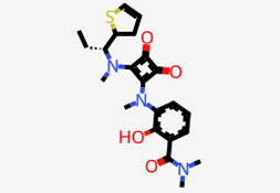 CC[C@H](C1CC=CS1)N(C)c1c(N(C)c2cccc(C(=O)N(C)C)c2O)c(=O)c1=O